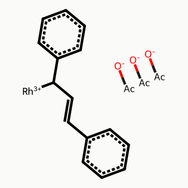 CC(=O)[O-].CC(=O)[O-].CC(=O)[O-].[Rh+3][CH](C=Cc1ccccc1)c1ccccc1